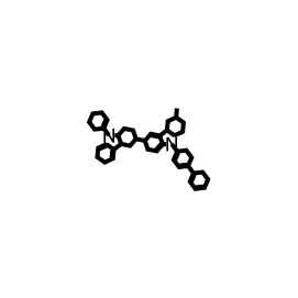 CC1CCC2C(C1)C1=CC(C3CCC4C(C3)C3=CCCC=C3N4C3=CCCCC3)CC=C1N2C1=CC=C(C2=CC=CCC2)CC1